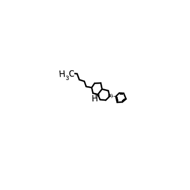 CCCCCC1CCC2C[C@H](c3ccccc3)CC[C@@H]2C1